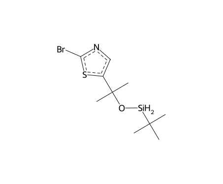 CC(C)(C)[SiH2]OC(C)(C)c1cnc(Br)s1